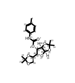 Cc1ccc(NC(=O)O[C@@H]2[C@H]3OC(C)(C)O[C@H]3O[C@@H]2[C@H]2COC(C)(C)O2)cc1